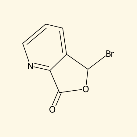 O=C1OC(Br)c2cccnc21